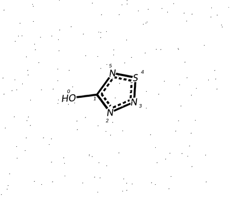 Oc1nnsn1